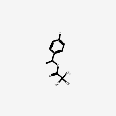 CC(OC(=O)C(O)(C(F)(F)F)C(F)(F)F)c1ccc(F)cc1